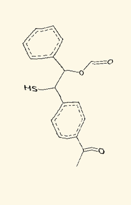 CC(=O)c1ccc(C(S)C(OC=O)c2ccccc2)cc1